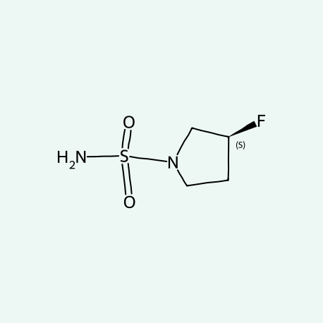 NS(=O)(=O)N1CC[C@H](F)C1